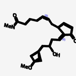 CNC(=O)CCC/C=C\CC1C=CC(=O)/C1=C/CC(O)CC12CC(OC)(C1)C2